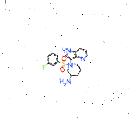 NC1CCC[N+](c2c[nH]c3cccnc23)(S(=O)(=O)c2cccc(F)c2)C1